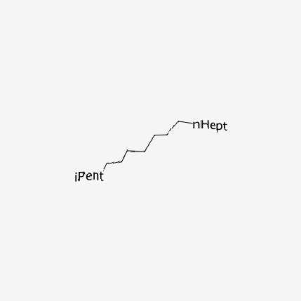 [CH2]C(CCC)CCCCCCCCCCCCCC